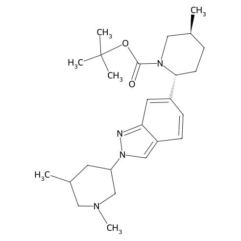 CC1CC(n2cc3ccc([C@H]4CC[C@H](C)CN4C(=O)OC(C)(C)C)cc3n2)CN(C)C1